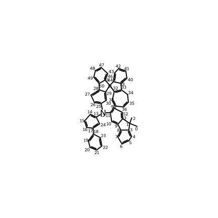 CC1(C)c2ccccc2-c2cc(N(c3cccc(-c4ccccc4)c3)c3ccc4c(c3)C3(C5=C(CC=CC=C5)c5ccccc53)c3ccccc3-4)ccc21